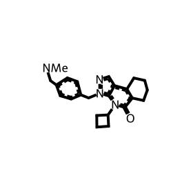 CNCc1ccc(Cn2ncc3c4c(c(=O)n(C5CCC5)c32)CCCC4)cc1